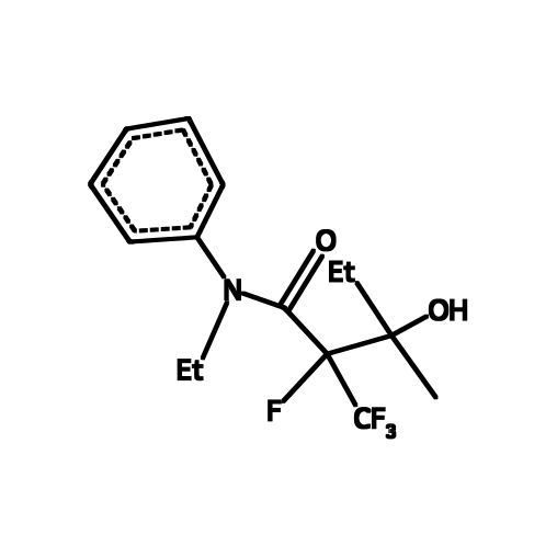 CCN(C(=O)C(F)(C(F)(F)F)C(C)(O)CC)c1ccccc1